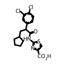 O=C(O)c1csc(NC(=O)C(CC2CCCC2)c2ccc(Cl)c(Cl)c2)n1